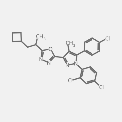 Cc1c(-c2nnc(C(C)CC3CCC3)o2)nn(-c2ccc(Cl)cc2Cl)c1-c1ccc(Cl)cc1